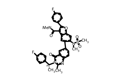 CNC(=O)c1c(-c2ccc(F)cc2)oc2cc(N(C)S(C)(=O)=O)c(-c3ccc4nc(C)n([C@H](C)c5ccc(F)cc5)c(=O)c4c3)cc12